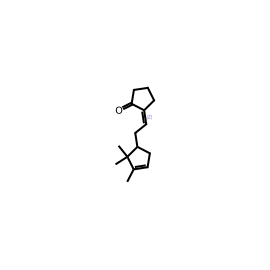 CC1=CCC(C/C=C2/CCCC2=O)C1(C)C